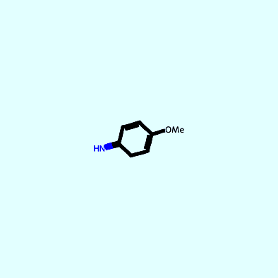 COC1=CCC(=N)C=C1